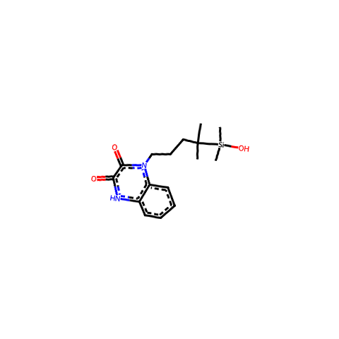 CC(C)(CCCn1c(=O)c(=O)[nH]c2ccccc21)[Si](C)(C)O